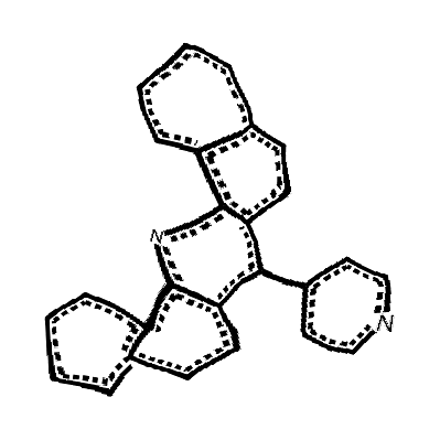 c1ccc2c(c1)ccc1c(-c3ccncc3)c3ccc4ccccc4c3nc12